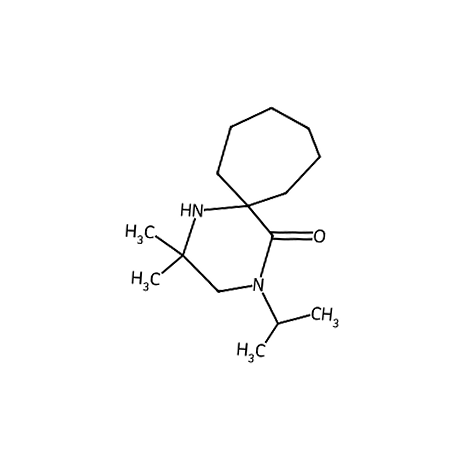 CC(C)N1CC(C)(C)NC2(CCCCCC2)C1=O